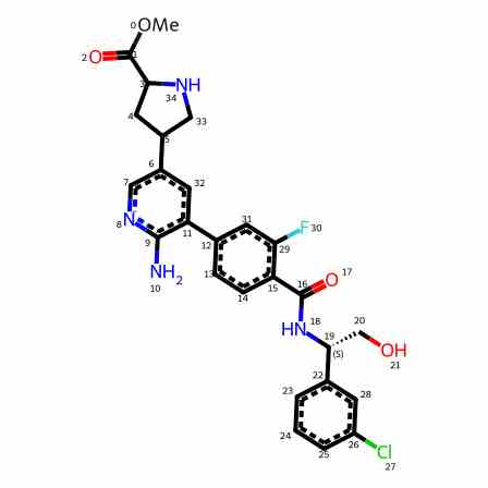 COC(=O)C1CC(c2cnc(N)c(-c3ccc(C(=O)N[C@H](CO)c4cccc(Cl)c4)c(F)c3)c2)CN1